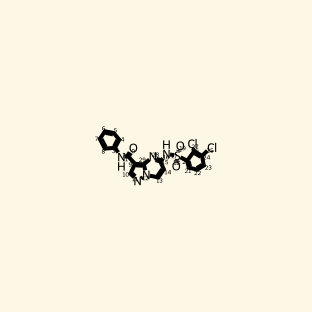 O=C(Nc1ccccc1)c1cnn2ccc(NS(=O)(=O)c3cccc(Cl)c3Cl)nc12